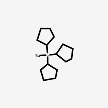 CCC(C)[Si](C1CCCC1)(C1CCCC1)C1CCCC1